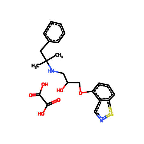 CC(C)(Cc1ccccc1)NCC(O)COc1cccc2sncc12.O=C(O)C(=O)O